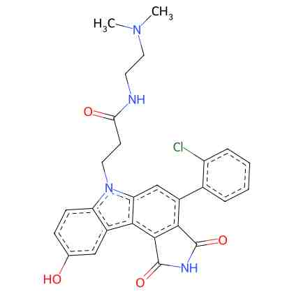 CN(C)CCNC(=O)CCn1c2ccc(O)cc2c2c3c(c(-c4ccccc4Cl)cc21)C(=O)NC3=O